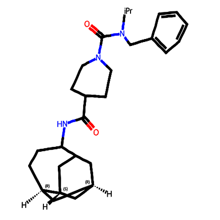 CC(C)N(Cc1ccccc1)C(=O)N1CCC(C(=O)NC2CC[C@@H]3C[C@H]4CC2C[C@@H]3C4)CC1